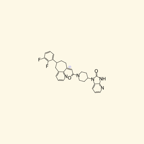 O=C(/C=C1/CCC(c2cccc(F)c2F)Cc2cccnc21)N1CCC(n2c(=O)[nH]c3ncccc32)CC1